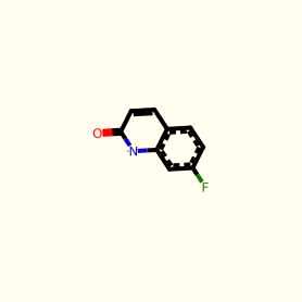 O=C1C=Cc2ccc(F)cc2[N]1